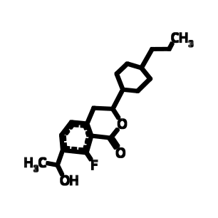 CCCC1CCC(C2Cc3ccc(C(C)O)c(F)c3C(=O)O2)CC1